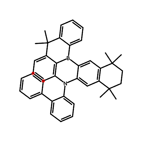 CC1(C)CCC(C)(C)c2cc3c(cc21)B1c2ccccc2C(C)(C)c2cccc(c21)N3c1ccccc1-c1ccccc1